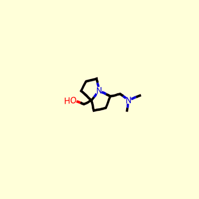 CN(C)CC1CCC2(CO)CCCN12